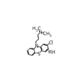 CN(C)CCCN1c2ccccc2Sc2ccc(Cl)cc21.[KH]